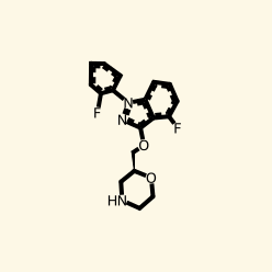 Fc1ccccc1-n1nc(OC[C@@H]2CNCCO2)c2c(F)cccc21